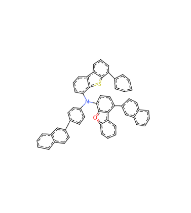 c1ccc(-c2cccc3c2sc2c(N(c4ccc(-c5ccc6ccccc6c5)cc4)c4ccc(-c5ccc6ccccc6c5)c5c4oc4ccccc45)cccc23)cc1